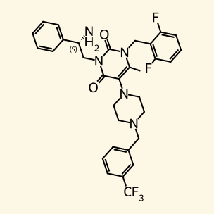 Cc1c(N2CCN(Cc3cccc(C(F)(F)F)c3)CC2)c(=O)n(C[C@@H](N)c2ccccc2)c(=O)n1Cc1c(F)cccc1F